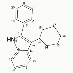 c1ccc(-c2[nH]c3ccccc3c2C2CCCCC2)cc1